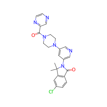 CC1(C)c2cc(Cl)ccc2C(=O)N1c1cncc(N2CCN(C(=O)c3cnccn3)CC2)c1